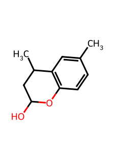 Cc1ccc2c(c1)C(C)CC(O)O2